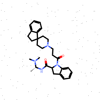 C[C@@H](NC(=O)C1Cc2ccccc2N1C(=O)CCN1CCC2(CCc3ccccc32)CC1)N(C)C